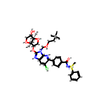 C/S(=N\C(=O)c1ccc(-c2nc3c(cc2Cl)nc(O[C@@H]2CO[C@H]4[C@@H]2OC[C@H]4O)n3COCC[Si](C)(C)C)cc1)c1ccccc1